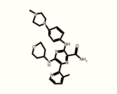 Cc1cccnc1-c1nc(C(N)=O)c(Nc2ccc(N3CCN(C)CC3)cc2)nc1NC1CCOCC1